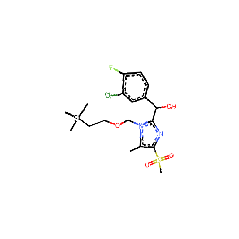 Cc1c(S(C)(=O)=O)nc(C(O)c2ccc(F)c(Cl)c2)n1COCC[Si](C)(C)C